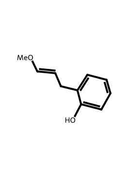 COC=CCc1ccccc1O